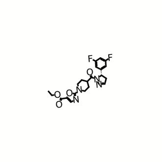 CCOC(=O)c1cnc(N2CCC(C(=O)N3N=CC[C@H]3c3cc(F)cc(F)c3)CC2)o1